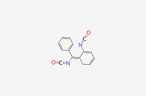 O=C=NC1=CC=CCC1=C(N=C=O)c1ccccc1